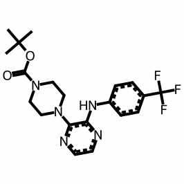 CC(C)(C)OC(=O)N1CCN(c2nccnc2Nc2ccc(C(F)(F)F)cc2)CC1